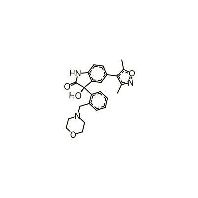 Cc1noc(C)c1-c1ccc2c(c1)[C@](O)(c1ccccc1CN1CCOCC1)C(=O)N2